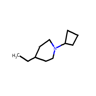 CCC1[CH]CN(C2CCC2)CC1